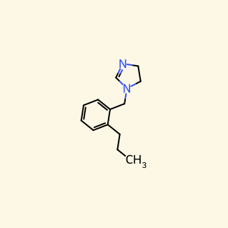 CCCc1ccccc1CN1C=NCC1